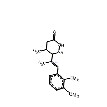 COc1cccc(/C=C(\C)C2NNC(=O)CC2C)c1SC